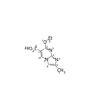 CCOc1nc2nc(C)cn2cc1C(=O)O